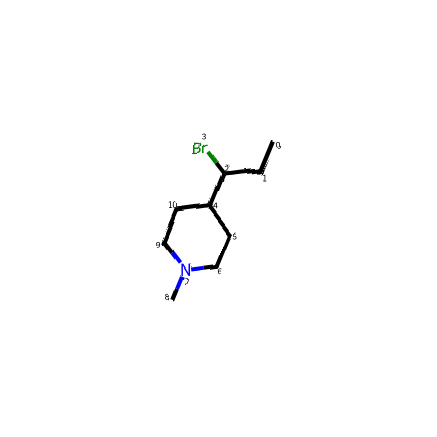 CCC(Br)C1CCN(C)CC1